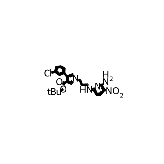 CC(C)(C)OC(=O)c1cn(CCCNc2ccc([N+](=O)[O-])c(N)n2)cc1-c1cccc(Cl)c1